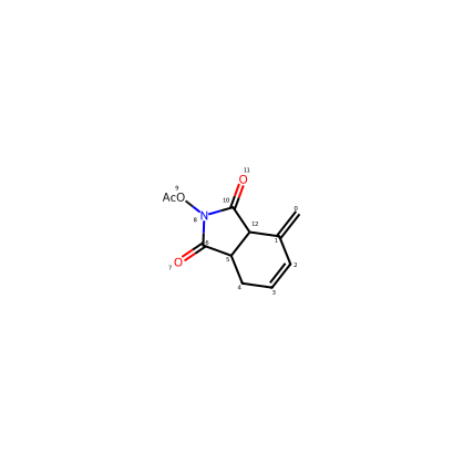 C=C1C=CCC2C(=O)N(OC(C)=O)C(=O)C12